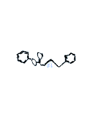 O=C(/C=C/Cc1ccccc1)Oc1ccccc1